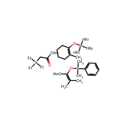 CCC[CH2][Sn]([CH2]CCC)([CH2]CCC)[O]C1=C(C)CCCC1.CC[Si](CC)(CC)CC(=O)OC.COC(O[Si](C)(C)c1ccccc1)=C(C)C